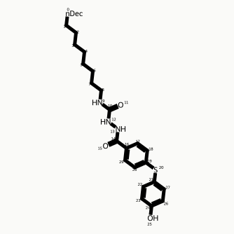 CCCCCCCCCCCCCCCCCCNC(=O)NNC(=O)c1ccc(Sc2ccc(O)cc2)cc1